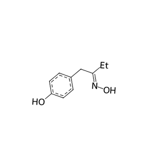 CCC(Cc1ccc(O)cc1)=NO